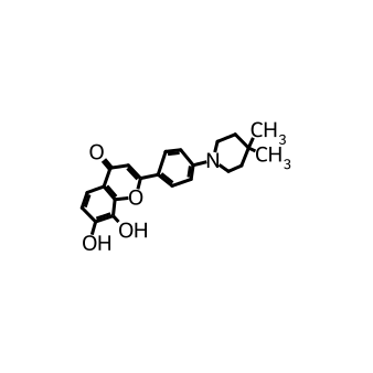 CC1(C)CCN(c2ccc(-c3cc(=O)c4ccc(O)c(O)c4o3)cc2)CC1